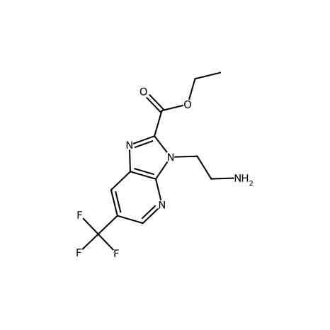 CCOC(=O)c1nc2cc(C(F)(F)F)cnc2n1CCN